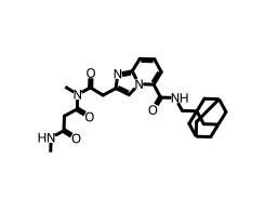 CNC(=O)CC(=O)N(C)C(=O)Cc1cn2c(C(=O)NCC34CC5CC(CC(C5)C3)C4)cccc2n1